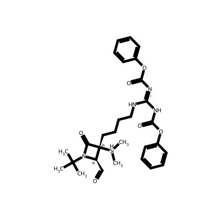 C[SiH](C)[C@@]1(CCCCN/C(=N\C(=O)Oc2ccccc2)NC(=O)Oc2ccccc2)C(=O)N(C(C)(C)C)[C@@H]1C=O